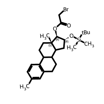 Cc1ccc2c(c1)CCC1C2CC[C@@]2(C)C1C[C@@H](O[Si](C)(C)C(C)(C)C)[C@@H]2OC(=O)CBr